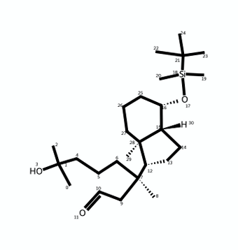 CC(C)(O)CCC[C@](C)(CC=O)[C@H]1CC[C@H]2[C@@H](O[Si](C)(C)C(C)(C)C)CCC[C@]12C